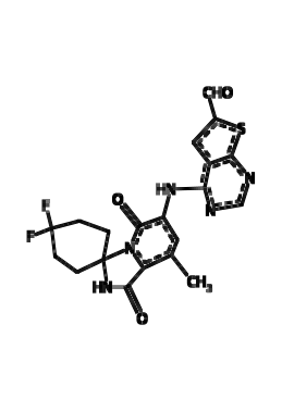 Cc1cc(Nc2ncnc3sc(C=O)cc23)c(=O)n2c1C(=O)NC21CCC(F)(F)CC1